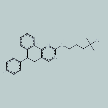 CC(C)(N)CCCNc1ncc2c(n1)-c1ccccc1C(c1ccccc1)C2